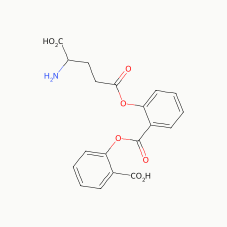 NC(CCC(=O)Oc1ccccc1C(=O)Oc1ccccc1C(=O)O)C(=O)O